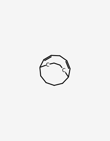 C1=CC2CCCCC(C=CC1)CCCC2